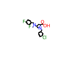 CN(Cc1ccc(F)cc1F)C1CC(C(=O)O)N(Cc2cccc(Cl)c2)C1